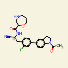 CC(=O)N1CCc2cc(-c3ccc(C[C@@H](C#N)NC(=O)C4CNCCCO4)c(F)c3)ccc21